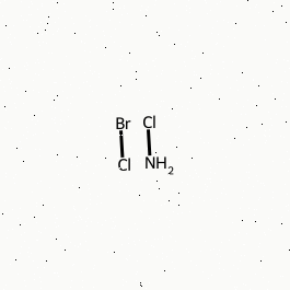 ClBr.NCl